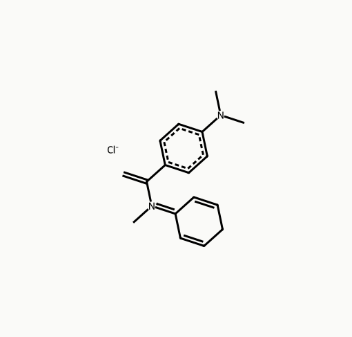 C=C(c1ccc(N(C)C)cc1)[N+](C)=C1C=CCC=C1.[Cl-]